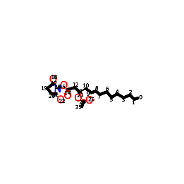 CCCCCCCCCCC[C@H](CC(=O)ON1C(=O)CCC1=O)OC(C)=O